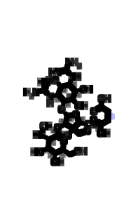 CN[C@@H]1[C@H](O[C@H]2[C@H](O[C@H]3[C@H](O)[C@@H](O)[C@H](NC(=N)N)[C@@H](O)[C@@H]3NC(=N)N)O[C@@H](C)[C@]2(O)C=O)O[C@@H](CO)[C@H](O)[C@H]1O.O=C(O)/C=C\C(=O)O